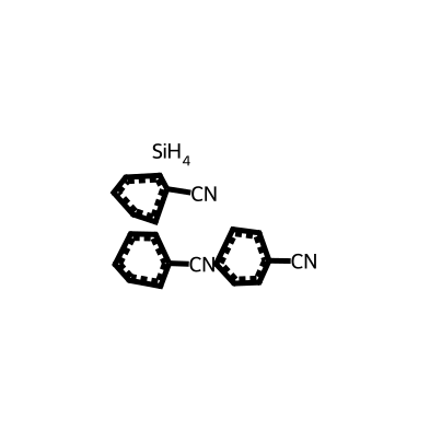 N#Cc1ccccc1.N#Cc1ccccc1.N#Cc1ccccc1.[SiH4]